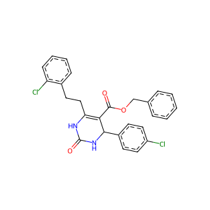 O=C1NC(CCc2ccccc2Cl)=C(C(=O)OCc2ccccc2)C(c2ccc(Cl)cc2)N1